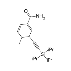 CC1C=CC(C(N)=O)=CC1C#C[Si](C(C)C)(C(C)C)C(C)C